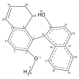 COc1ccc2c(c1-c1c(O)ccc3ccccc13)CCC=C2